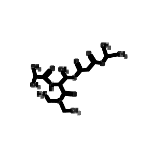 CCN(CC)C(=O)C(NC(=O)C(C)C)C(C)SC(=O)CC(=O)OC(C)C